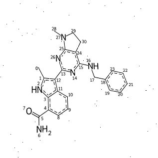 Cc1[nH]c2c(C(N)=O)cccc2c1-c1nc(NCc2ccccc2)c2c(n1)N(C)CC2